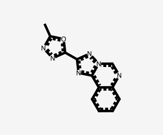 Cc1nnc(-c2nc3c4ccccc4ncn3n2)o1